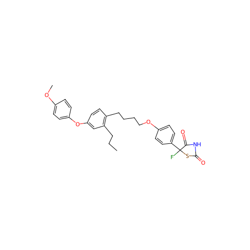 CCCc1cc(Oc2ccc(OC)cc2)ccc1CCCCOc1ccc(C2(F)SC(=O)NC2=O)cc1